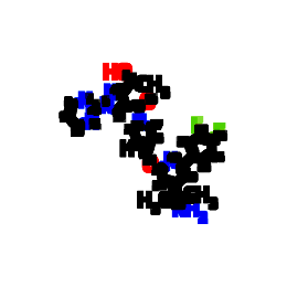 CC(O)c1nn(-c2ncccn2)cc1C(=O)N1CC2[C@@H](C1)[C@@H]2Oc1cc(C(C)(C)N)cc(-c2ccc(F)c(F)c2)n1